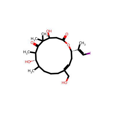 C/C(=C\I)[C@@H]1C/C=C(/CO)CCCC(C)[C@H](O)C(C)C(=O)C(C)(C)C(O)CC(=O)O1